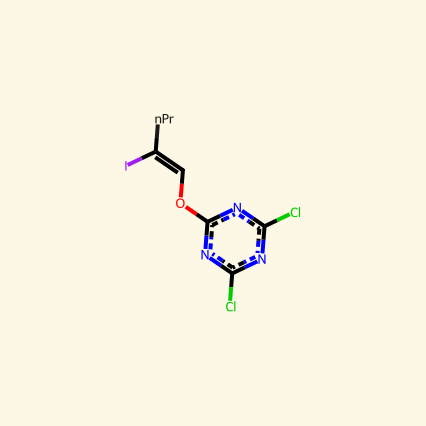 CCCC(I)=COc1nc(Cl)nc(Cl)n1